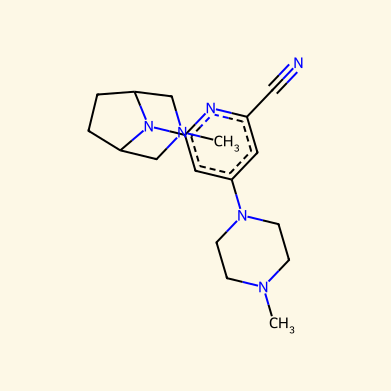 CN1CCN(c2cc(C#N)nc(N3C4CCC3CN(C)C4)c2)CC1